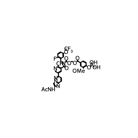 COc1cc(C(=O)OCOC(=O)N(Cc2cc(OC(F)(F)F)ccc2F)C(=O)c2cc(-c3ccc4nc(NC(C)=O)cn4n3)cnc2C)ccc1OP(O)O